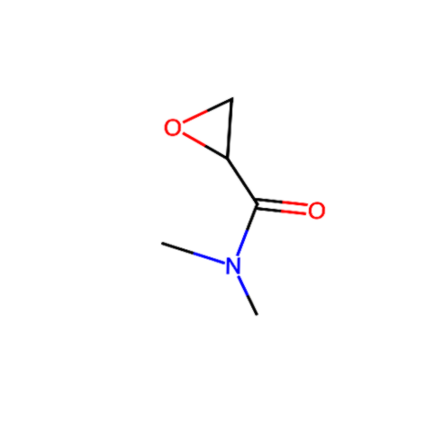 CN(C)C(=O)C1CO1